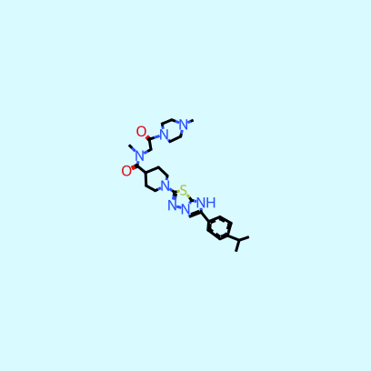 CC(C)c1ccc(C2=CN3N=C(N4CCC(C(=O)N(C)CC(=O)N5CCN(C)CC5)CC4)SC3N2)cc1